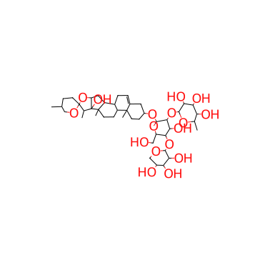 CC1CCC2(OC1)OC1CC3C4CC=C5CC(OC6OC(CO)C(OC7OCC(O)C(O)C7O)C(O)C6OC6OC(C)C(O)C(O)C6O)CCC5(C)C4CCC3(C)C1(O)C2C